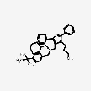 CCCCn1c(-c2ccccc2)nc(-c2ccccc2)c1CN(Cc1ccc(C(C)(C)C)cc1)CC1CCCCC1